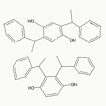 CC(c1ccccc1)c1c(O)ccc(O)c1C(C)c1ccccc1.CC(c1ccccc1)c1cc(O)c(C(C)c2ccccc2)cc1O